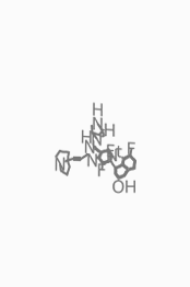 CCc1c(F)ccc2cc(O)cc(-c3ncc4c(N5C[C@@H]6C[C@H]5CN6)nc(C#CC56CCCN5CCC6)nc4c3F)c12